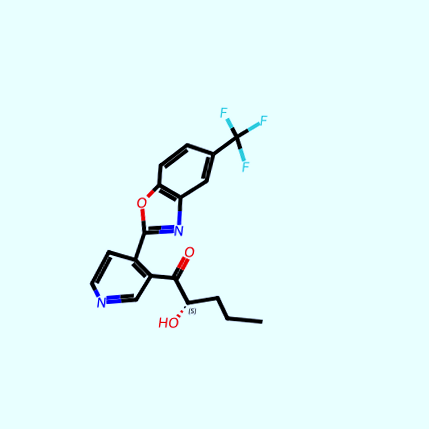 CCC[C@H](O)C(=O)c1cnccc1-c1nc2cc(C(F)(F)F)ccc2o1